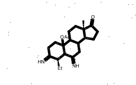 CC[C@H]1C(=N)CCC2(OC(C)=O)C3CC[C@]4(C)C(=O)CCC4C3CC(=N)C12